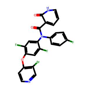 O=C(c1ccc[nH]c1=O)N(c1ccc(F)cc1)c1cc(F)c(Oc2ccncc2Br)cc1F